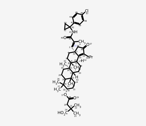 C/C(=C\[C@@]12CC[C@]3(C)[C@H](CC[C@@H]4C5(C)CC[C@H](OC(=O)CC(C)(C)C(=O)O)C(C)(C)C5CC[C@]43C)C1=C(C(C)C)C(=O)C2)C(=O)NC1(c2ccc(Cl)cc2)CC1